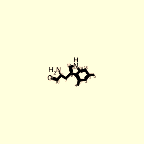 Cc1cc(C)c2c(C[C@H](N)[C]=O)c[nH]c2c1